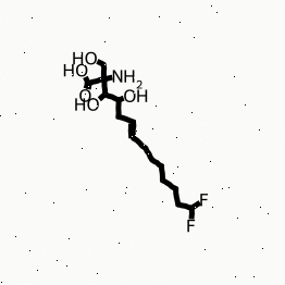 NC(CO)(C(=O)O)C(O)C(O)C/C=C/CCCCCCC(F)F